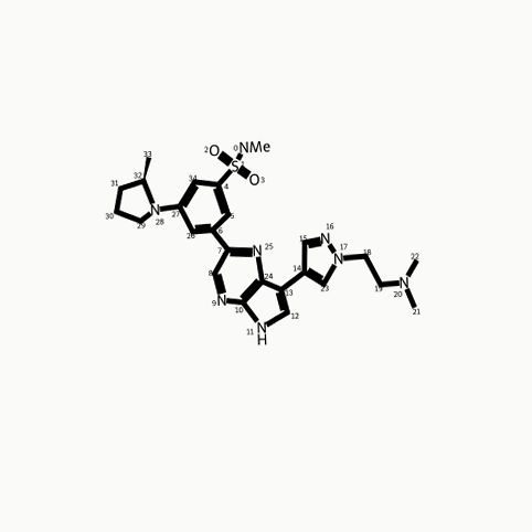 CNS(=O)(=O)c1cc(-c2cnc3[nH]cc(-c4cnn(CCN(C)C)c4)c3n2)cc(N2CCC[C@H]2C)c1